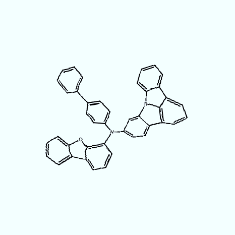 c1ccc(-c2ccc(N(c3ccc4c5cccc6c7ccccc7n(c4c3)c65)c3cccc4c3oc3ccccc34)cc2)cc1